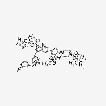 CC(C)(C)OC(=O)N1CCN(c2ccc(-c3cnc4c(c3)c(-c3cnn(Cc5cccc(F)c5)c3)cn4C(=O)OC(C)(C)C)cc2NS(C)(=O)=O)CC1